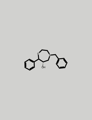 O[C@H]1CN(Cc2ccccc2)CCOC1c1ccccc1